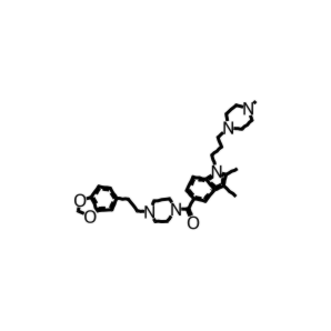 Cc1c(C)n(CCCN2CCN(C)CC2)c2ccc(C(=O)N3CCN(CCc4ccc5c(c4)OCO5)CC3)cc12